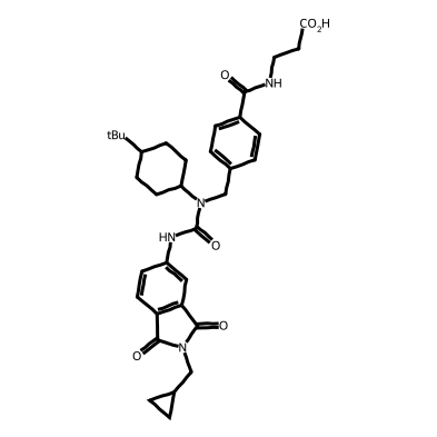 CC(C)(C)C1CCC(N(Cc2ccc(C(=O)NCCC(=O)O)cc2)C(=O)Nc2ccc3c(c2)C(=O)N(CC2CC2)C3=O)CC1